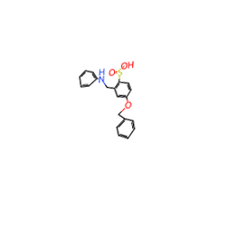 O=S(O)c1ccc(OCc2ccccc2)cc1CNc1ccccc1